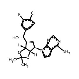 CC1(C)O[C@@H]2[C@@H]([C@H](O)c3ccc(Cl)c(F)c3)C[C@@H](n3ccc4c(N)ncnc43)[C@@H]2O1